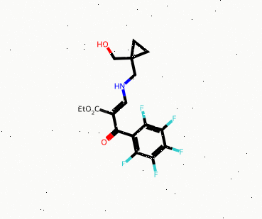 CCOC(=O)C(=CNCC1(CO)CC1)C(=O)c1c(F)c(F)c(F)c(F)c1F